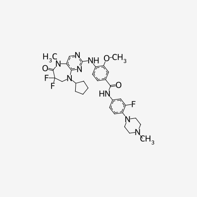 COc1cc(C(=O)Nc2ccc(N3CCN(C)CC3)c(F)c2)ccc1Nc1ncc2c(n1)N(C1CCCC1)CC(F)(F)C(=O)N2C